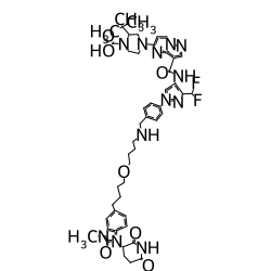 Cn1c(=O)n(C2CCC(=O)NC2=O)c2ccc(CCCCOCCCCNCc3ccc(-n4cc(NC(=O)c5cnn6ccc(N7CCN(C(=O)O)C(C(C)(C)C)C7)nc56)c(C(F)F)n4)cc3)cc21